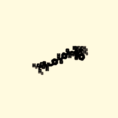 CC(C)(C)OC(=O)NN=Cc1ccc(NC(=O)c2ccc(C(=O)NC[C@H](NS(=O)(=O)c3ccccc3)C(=O)OC(C)(C)C)cc2)cc1